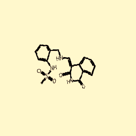 CS(=O)(=O)Nc1ccccc1CN/C=C1\C(=O)NC(=O)c2ccccc21